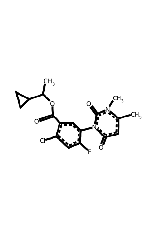 Cc1cc(=O)n(-c2cc(C(=O)OC(C)C3CC3)c(Cl)cc2F)c(=O)n1C